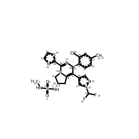 CNS(=O)(=O)N[C@H]1CC2=C(c3cnn(C(F)F)c3)[C@H](c3ccc(C)cc3Cl)N=C(c3nccs3)N2C1